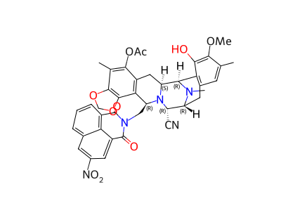 COc1c(C)cc2c(c1O)[C@@H]1[C@@H]3Cc4c(OC(C)=O)c(C)c5c(c4[C@H](CN4C(=O)c6cccc7cc([N+](=O)[O-])cc(c67)C4=O)N3[C@@H](C#N)[C@@H](C2)N1C)OCO5